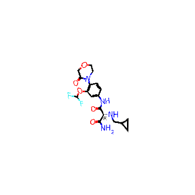 NC(=O)[C@@H](NCC1CC1)C(=O)Nc1ccc(N2CCOCC2=O)c(OC(F)F)c1